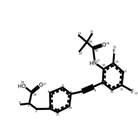 CC(Cc1ccc(C#Cc2cc(F)cc(F)c2NC(=O)C(C)(C)C)cc1)C(=O)O